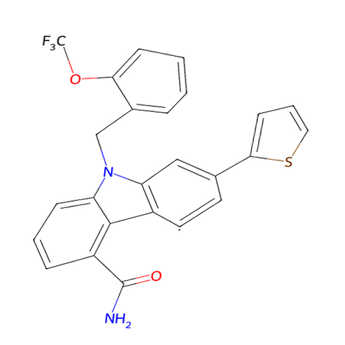 NC(=O)c1cccc2c1c1[c]cc(-c3cccs3)cc1n2Cc1ccccc1OC(F)(F)F